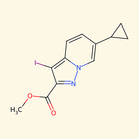 COC(=O)c1nn2cc(C3CC3)ccc2c1I